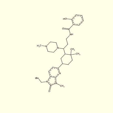 CN1CCN(C(CCNC(=O)c2ccccc2O)C2CC(c3ccc4c(n3)n(C)c(=O)n4CC(C)(C)C)CCC2(C)C)CC1